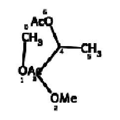 COC(C)=O.COCC(C)OC(C)=O